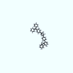 c1ccc(N(c2ccccc2)c2ccc(-c3ccc(-c4ccc(-c5cccc6c5oc5ccccc56)cc4)s3)cc2)cc1